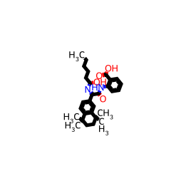 CCCCCC(O)N=C(C(=O)Nc1ccccc1C(=O)O)c1ccc2c(c1)C(C)(C)CCC2(C)C